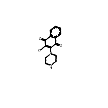 O=C1C(Cl)=C(N2CCNCC2)C(=O)c2ccccc21